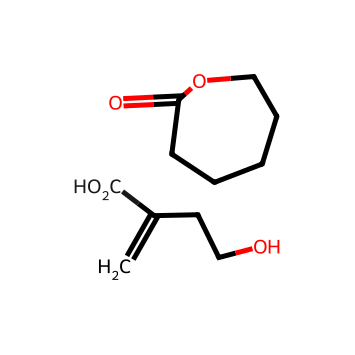 C=C(CCO)C(=O)O.O=C1CCCCCO1